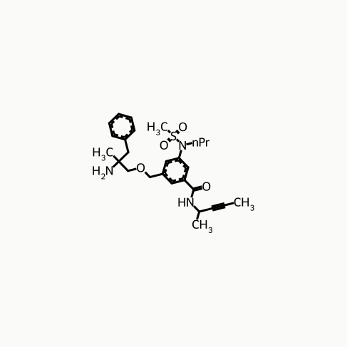 CC#CC(C)NC(=O)c1cc(COCC(C)(N)Cc2ccccc2)cc(N(CCC)S(C)(=O)=O)c1